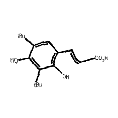 CC(C)(C)c1cc(C=CC(=O)O)c(O)c(C(C)(C)C)c1O